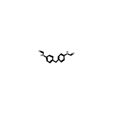 O=CNc1ccc(Cc2ccc(NC=O)cc2)cc1